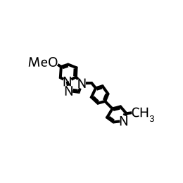 COC1=CC=C2N(Cc3ccc(-c4ccnc(C)c4)cc3)C=NN2C1